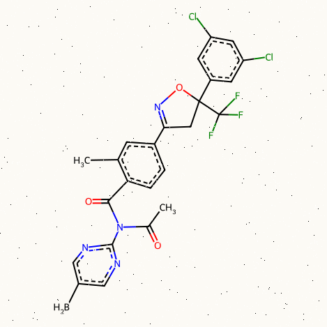 Bc1cnc(N(C(C)=O)C(=O)c2ccc(C3=NOC(c4cc(Cl)cc(Cl)c4)(C(F)(F)F)C3)cc2C)nc1